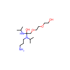 CC(C)NC(O)(COCCOCCO)N(CCCN)C(C)C